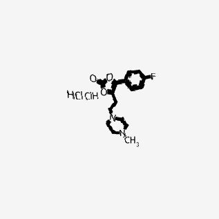 CN1CCN(CCc2oc(=O)oc2-c2ccc(F)cc2)CC1.Cl.Cl